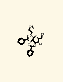 C=CCO[C@H]1OC(CO)[C@H](O)C(OC(=O)c2ccccc2)C1OC(=O)c1ccccc1